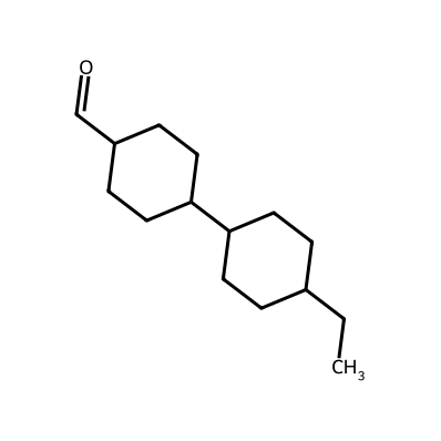 CCC1CCC(C2CCC(C=O)CC2)CC1